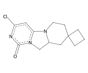 O=c1nc(Cl)cc2n1CC1CC3(CCC3)CCN21